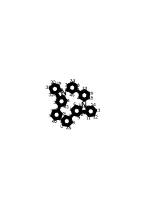 c1ccc(-c2ccc3c(c2)c2ccccc2n3-c2cccc(-c3cccc(-n4c5ccccc5c5cc(-c6ccccc6)ccc54)c3)c2)cc1